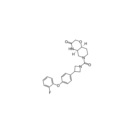 O=C1CO[C@H]2CCN(C(=O)N3CC(c4ccc(Oc5ccccc5F)cc4)C3)C[C@H]2N1